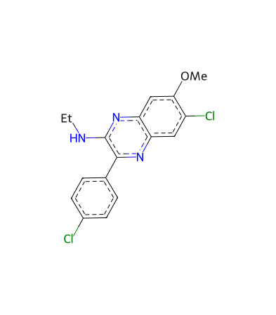 CCNc1nc2cc(OC)c(Cl)cc2nc1-c1ccc(Cl)cc1